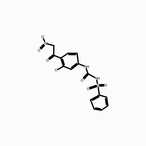 O=C(Nc1ccc(C(=O)C[N+](=O)[O-])c(Cl)c1)NS(=O)(=O)c1ccccc1